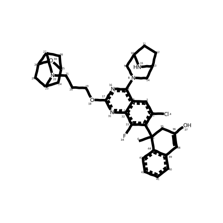 CC1(c2c(Cl)cc3c(N4CC5CCC(C4)N5)nc(OCCCN4C5CC6CC4C(C5)O6)nc3c2F)CC(O)=Cc2ccccc21